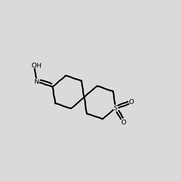 O=S1(=O)CCC2(CCC(=NO)CC2)CC1